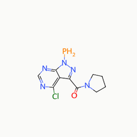 O=C(c1nn(P)c2ncnc(Cl)c12)N1CCCC1